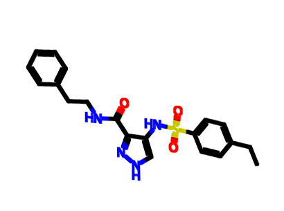 CCc1ccc(S(=O)(=O)Nc2c[nH]nc2C(=O)NCCc2ccccc2)cc1